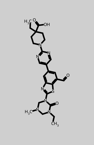 CCN1CN(C)CN(c2nc3cc(-c4cnc(N5CCC(CC)(C(=O)O)CC5)nc4)cc(C=O)c3s2)C1=O